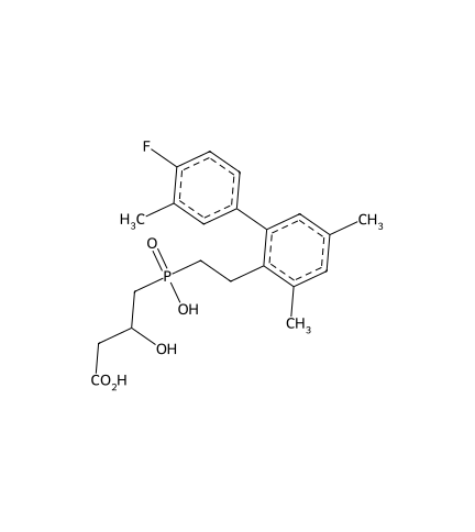 Cc1cc(C)c(CCP(=O)(O)CC(O)CC(=O)O)c(-c2ccc(F)c(C)c2)c1